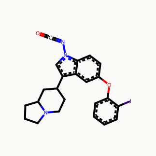 O=C=Nn1cc(C2CCN3CCCC3C2)c2cc(Oc3ccccc3I)ccc21